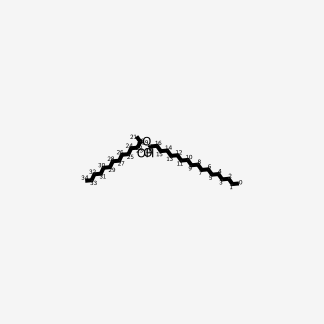 CCCCCCCCCCCCCCCCCC(=O)OC(C)C(O)CCCCCCCCCCC